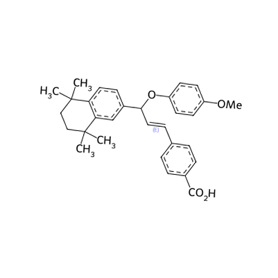 COc1ccc(OC(/C=C/c2ccc(C(=O)O)cc2)c2ccc3c(c2)C(C)(C)CCC3(C)C)cc1